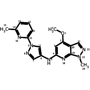 COc1cc(Nc2cnn(-c3cccc(C)n3)c2)nc2c1cnn2C